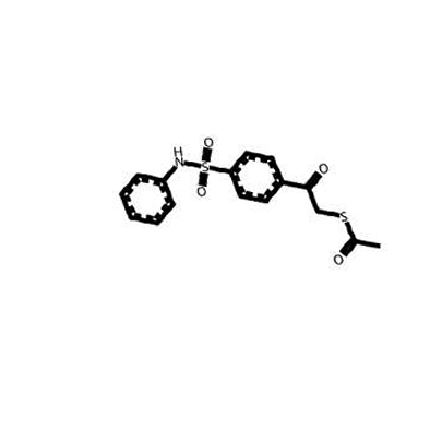 CC(=O)SCC(=O)c1ccc(S(=O)(=O)Nc2ccccc2)cc1